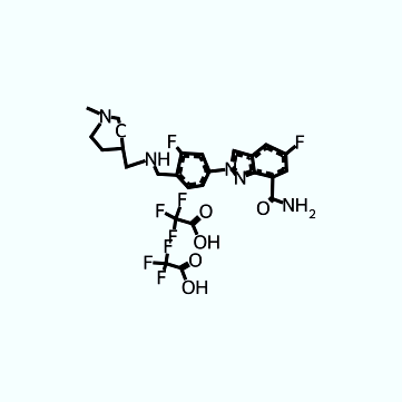 CN1CCC(CNCc2ccc(-n3cc4cc(F)cc(C(N)=O)c4n3)cc2F)CC1.O=C(O)C(F)(F)F.O=C(O)C(F)(F)F